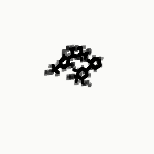 C[C@H]1C[C@@H](c2ccncc2NC(=O)c2ccc(F)c(-c3c(F)cc(C(C)(C)O)cc3F)n2)C[C@@H](N)[C@]1(C)O